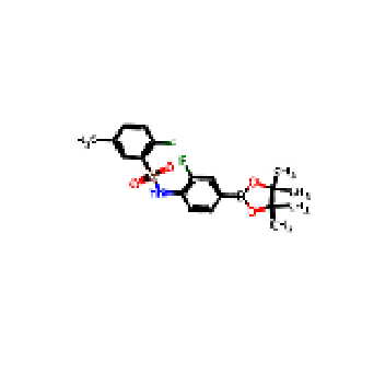 Cc1ccc(F)c(S(=O)(=O)Nc2ccc(B3OC(C)(C)C(C)(C)O3)cc2F)c1